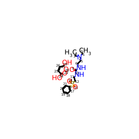 CCN(CC)CCNC(=O)NCCS(=O)(=O)c1ccccc1.O=C(O)/C=C\C(=O)O